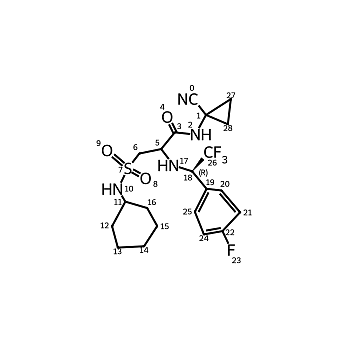 N#CC1(NC(=O)C(CS(=O)(=O)NC2CCCCC2)N[C@H](c2ccc(F)cc2)C(F)(F)F)CC1